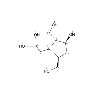 OC[C@@H]1C[C@H](O)[C@@H](CO)N1CC(O)O